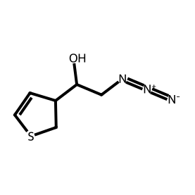 [N-]=[N+]=NCC(O)C1C=CSC1